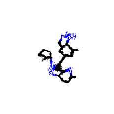 Cc1ccc2nn(C3CCCC3)c(-c3cc(C)c4[nH]ncc4c3)c2n1